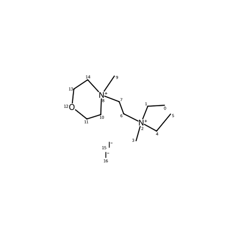 CC[N+](C)(CC)CC[N+]1(C)CCOCC1.[I-].[I-]